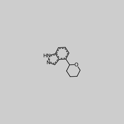 c1cc(C2CCCCO2)c2cn[nH]c2c1